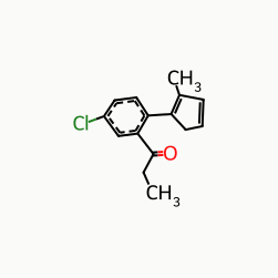 CCC(=O)c1cc(Cl)ccc1C1=C(C)C=CC1